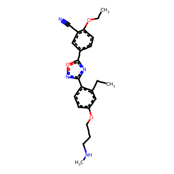 CCOc1ccc(-c2nc(-c3ccc(OCCCNC)cc3CC)no2)cc1C#N